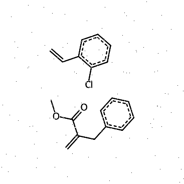 C=C(Cc1ccccc1)C(=O)OC.C=Cc1ccccc1Cl